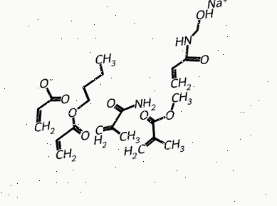 C=C(C)C(=O)OC.C=C(C)C(N)=O.C=CC(=O)NCO.C=CC(=O)OCCCC.C=CC(=O)[O-].[Na+]